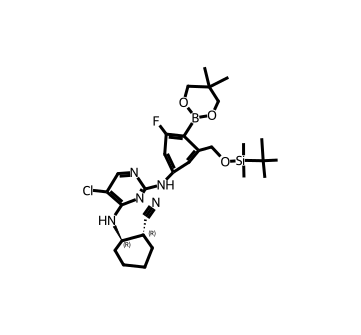 CC1(C)COB(c2c(F)cc(Nc3ncc(Cl)c(N[C@@H]4CCCC[C@H]4C#N)n3)cc2CO[Si](C)(C)C(C)(C)C)OC1